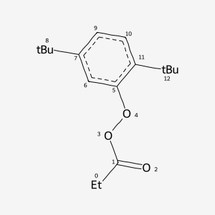 CCC(=O)OOc1cc(C(C)(C)C)ccc1C(C)(C)C